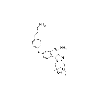 CCOCc1nc2c(N)nc3cc(Cc4ccc(CCCN)cc4)ccc3c2n1CC(C)(C)O